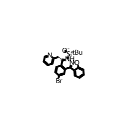 CC(C)(C)[S@+]([O-])N[C@@H](Cc1ccccn1)c1ccc(Br)cc1-c1noc2ccccc12